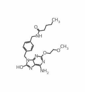 CCCCC(=O)NCc1ccc(Cn2c(O)nc3c(N)nc(OCCOC)nc32)cc1